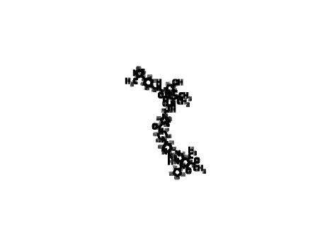 CC(=O)c1c(C)c2cnc(Nc3ccc(N4CCN(C(=O)c5cn(CCC(=O)NC(C(=O)N6C[C@H](O)C[C@H]6C(=O)NCc6ccc(-c7scnc7C)cc6)C(C)(C)C)nn5)CC4)cn3)nc2n(C2CCCC2)c1=O